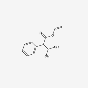 C=COC(=O)C(c1ccccc1)C(O)O